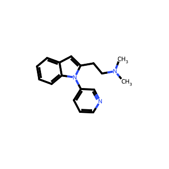 CN(C)CCc1cc2ccccc2n1-c1cccnc1